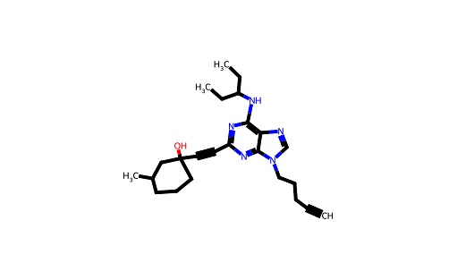 C#CCCCn1cnc2c(NC(CC)CC)nc(C#CC3(O)CCCC(C)C3)nc21